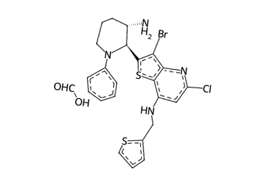 N[C@H]1CCCN(c2ccccc2)[C@@H]1c1sc2c(NCc3cccs3)cc(Cl)nc2c1Br.O=CO